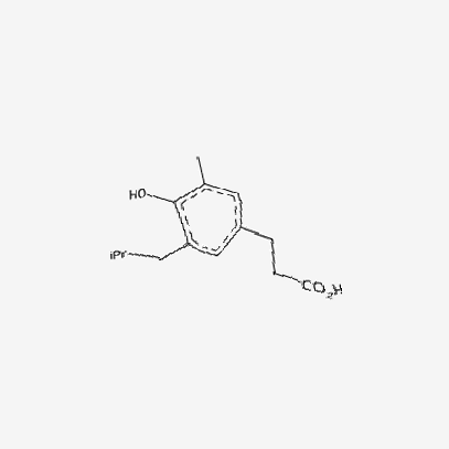 Cc1cc(CCC(=O)O)cc(CC(C)C)c1O